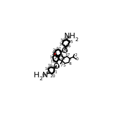 CC(C)C1CCC(C)(c2ccccc2Oc2ccc(N)cc2)C(c2ccccc2Oc2ccc(N)cc2)C1